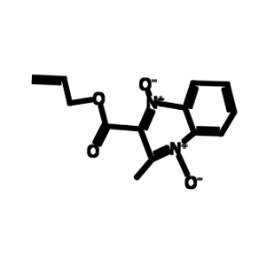 C=CCOC(=O)c1c(C)[n+]([O-])c2ccccc2[n+]1[O-]